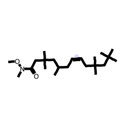 CON(C)C(=O)CC(C)(C)CC(C)C/C=C\CC(C)(C)CC(C)(C)C